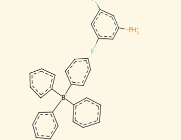 Fc1cc(F)cc([PH3+])c1.c1ccc([B-](c2ccccc2)(c2ccccc2)c2ccccc2)cc1